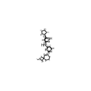 CN1CC2(CCCN(c3nccc(Nc4cc(C5CCCC5)[nH]n4)n3)C2)C1